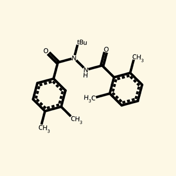 Cc1ccc(C(=O)N(NC(=O)c2c(C)cccc2C)C(C)(C)C)cc1C